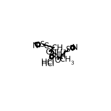 CC(CCCCSc1ccncc1)C(=O)Nc1ccccc1NC(=O)C(C)CCCCSc1ccncc1.Cl.Cl